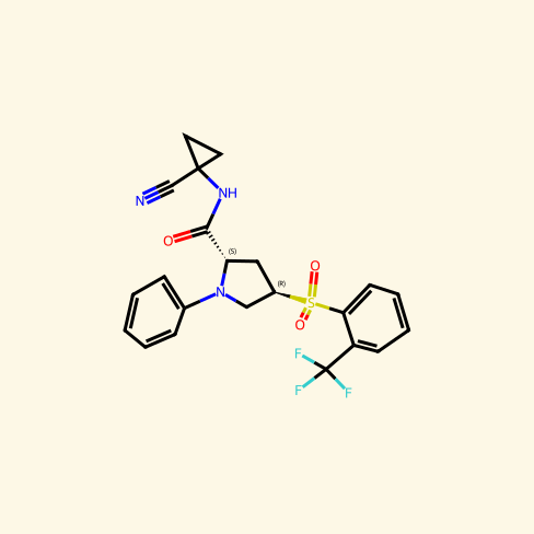 N#CC1(NC(=O)[C@@H]2C[C@@H](S(=O)(=O)c3ccccc3C(F)(F)F)CN2c2ccccc2)CC1